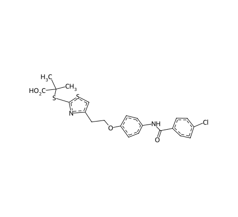 CC(C)(Sc1nc(CCOc2ccc(NC(=O)c3ccc(Cl)cc3)cc2)cs1)C(=O)O